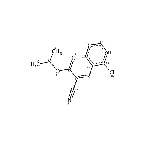 CC(C)OC(=O)C(C#N)=Cc1ccccc1Cl